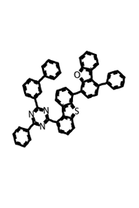 c1ccc(-c2cccc(-c3nc(-c4ccccc4)nc(-c4cccc5sc6c(-c7ccc(-c8ccccc8)c8c7oc7ccccc78)cccc6c45)n3)c2)cc1